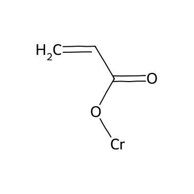 C=CC(=O)[O][Cr]